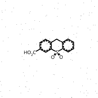 O=C(O)c1ccc2c(c1)S(=O)(=O)c1ccccc1C2